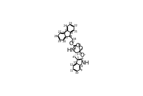 [O]C(=O)[C@H](Cc1c[nH]c2ccccc12)NC(=O)OCC1c2ccccc2-c2ccccc21